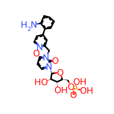 Nc1ccccc1-c1ccnc(Cn2c(=O)ccn([C@@H]3O[C@H](COP(=O)(O)O)[C@H](O)[C@@H]3O)c2=O)c1